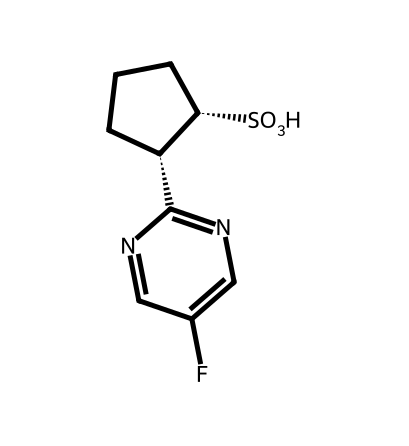 O=S(=O)(O)[C@H]1CCC[C@H]1c1ncc(F)cn1